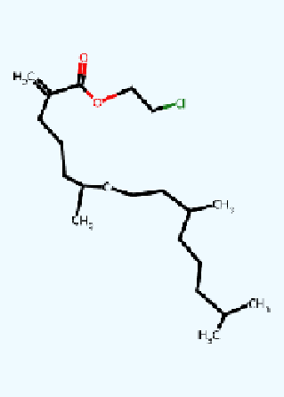 C=C(CCCC(C)CCCC(C)CCCC(C)C)C(=O)OCCCl